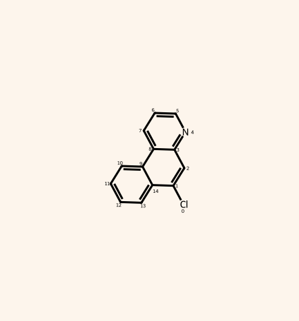 Clc1cc2ncccc2c2ccccc12